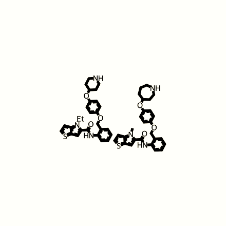 CCn1c(C(=O)Nc2ccccc2COc2ccc(OC3CCNCC3)cc2)cc2sccc21.Cn1c(C(=O)Nc2ccccc2COc2ccc(OC3CCCNCC3)cc2)cc2sccc21